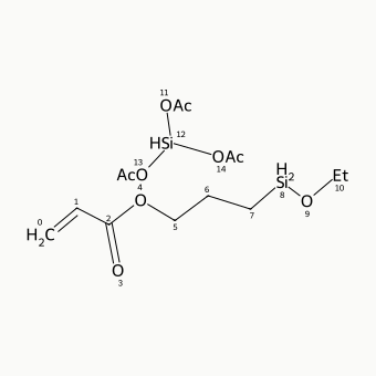 C=CC(=O)OCCC[SiH2]OCC.CC(=O)O[SiH](OC(C)=O)OC(C)=O